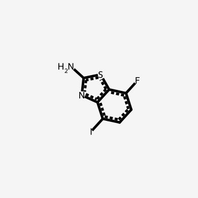 Nc1nc2c(I)ccc(F)c2s1